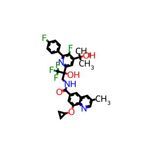 Cc1cnc2c(OC3CC3)cc(C(=O)NCC(O)(c3cc(C(C)(C)O)c(F)c(-c4ccc(F)cc4)n3)C(F)(F)F)cc2c1